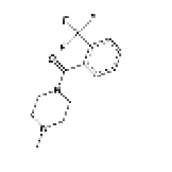 CN1CCN(C(=O)c2ccccc2C(F)(F)F)CC1